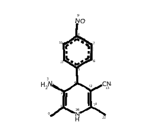 CC1=C(N)C(c2ccc(N=O)cc2)C(C#N)=C(C)N1